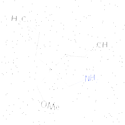 C=CCC(CN)(CC=C)COC